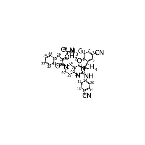 Cc1cc(C#N)cc(C)c1Oc1nc(Nc2ccc(C#N)cc2)nc2c1CN(C(=O)C(Cc1ccccc1)OC(N)=O)CC2